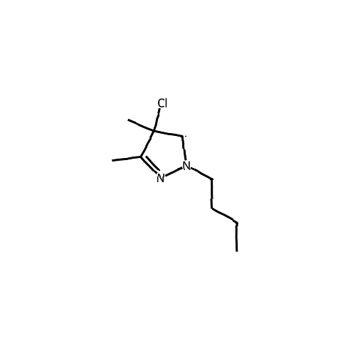 CCCCN1[CH]C(C)(Cl)C(C)=N1